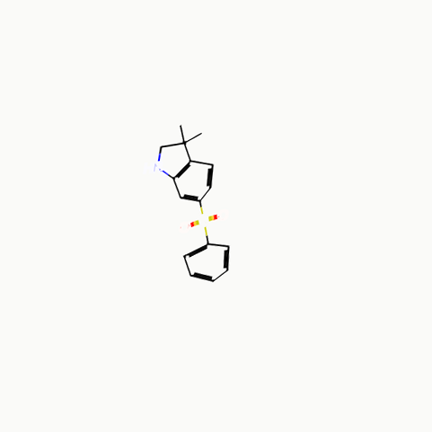 CC1(C)CNc2cc(S(=O)(=O)c3ccccc3)ccc21